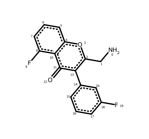 NCc1oc2cccc(F)c2c(=O)c1-c1cccc(F)c1